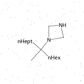 CCCCCCCC(C)(CCCCCC)N1CNC1